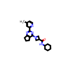 Cc1ccnc(-c2nc3c(c(N4CC(C(=O)NC5CCCCC5)C4)n2)CCC3)c1